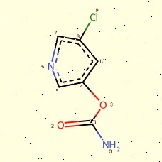 NC(=O)Oc1cncc(Cl)c1